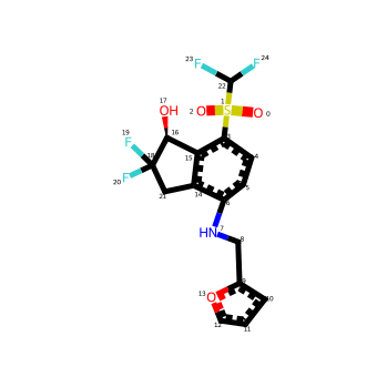 O=S(=O)(c1ccc(NCc2ccco2)c2c1[C@H](O)C(F)(F)C2)C(F)F